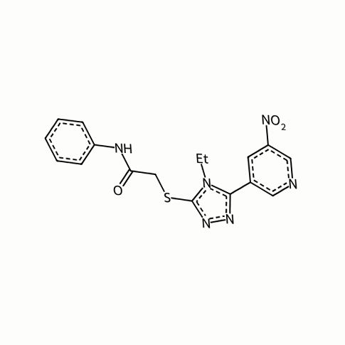 CCn1c(SCC(=O)Nc2ccccc2)nnc1-c1cncc([N+](=O)[O-])c1